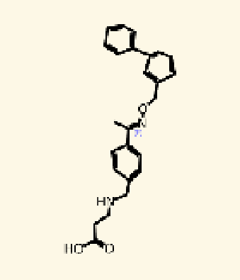 C/C(=N\OCc1cccc(-c2ccccc2)c1)c1ccc(CNCCC(=O)O)cc1